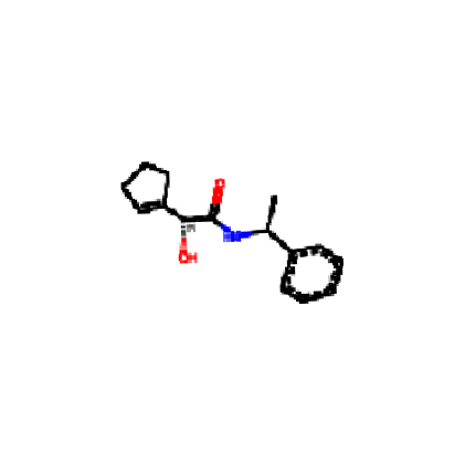 CC(NC(=O)[C@H](O)C1=CCCC1)c1ccccc1